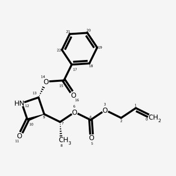 C=CCOC(=O)O[C@H](C)[C@H]1C(=O)N[C@@H]1OC(=O)c1ccccc1